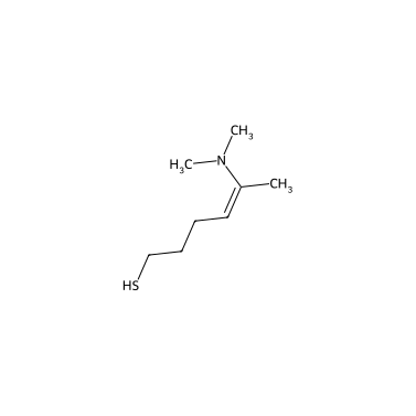 C/C(=C/CCCS)N(C)C